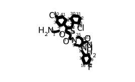 NCCOc1c(C(=O)N2CCC(NCc3ccc(F)cc3)(C(N)=O)CC2)sc(-c2ccccc2Cl)c1-c1ccc(Cl)cc1